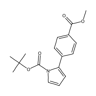 COC(=O)c1ccc(-c2cccn2C(=O)OC(C)(C)C)cc1